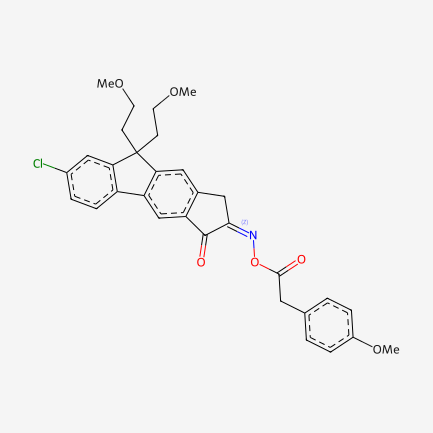 COCCC1(CCOC)c2cc(Cl)ccc2-c2cc3c(cc21)C/C(=N/OC(=O)Cc1ccc(OC)cc1)C3=O